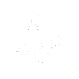 COc1ccc(OP(NP(=NP(N)N)(Oc2ccc(OC)cc2)Oc2ccc(OC)cc2)Oc2ccc(OC)cc2)cc1